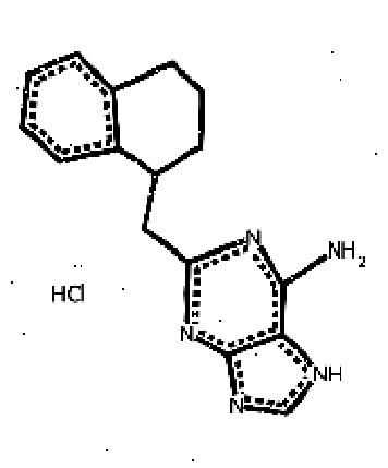 Cl.Nc1nc(CC2CCCc3ccccc32)nc2nc[nH]c12